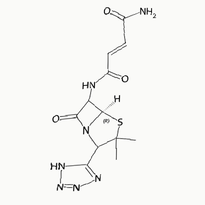 CC1(C)S[C@@H]2C(NC(=O)C=CC(N)=O)C(=O)N2C1c1nnn[nH]1